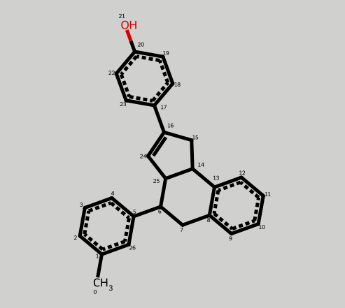 Cc1cccc(C2Cc3ccccc3C3CC(c4ccc(O)cc4)=CC23)c1